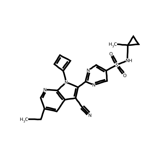 CCc1cnc2c(c1)c(C#N)c(-c1ncc(S(=O)(=O)NC3(C)CC3)cn1)n2C1=CC=C1